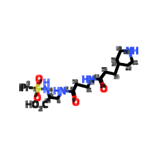 CC(C)S(=O)(=O)N[C@@H](CNC(=O)CCNC(=O)CCC1CCNCC1)C(=O)O